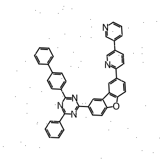 c1ccc(-c2ccc(-c3nc(-c4ccccc4)nc(-c4ccc5oc6ccc(-c7ccc(-c8cccnc8)cn7)cc6c5c4)n3)cc2)cc1